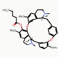 COc1ccc2cc1Oc1ccc(cc1)C[C@H]1c3cc(c(OC)cc3CCN1C)Oc1c(OC(=O)CCCC(=O)O)c(OC)cc3c1[C@H](C2)N(C)CC3